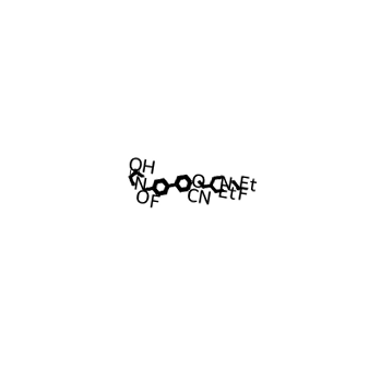 CCC(F)(CC)CN1CCC(COc2ccc(-c3ccc(C(=O)N4CC[C@H](O)C4)c(F)c3)cc2C#N)CC1